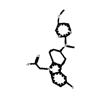 COc1cnc(N(C)C2CCc3c(c4cc(F)ccc4n3CC(=O)O)C2)nc1